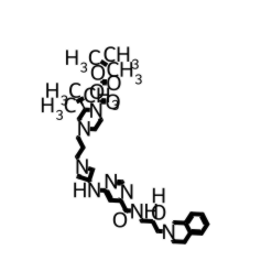 CC(C)(C)OC(=O)OC(=O)N1CCN(CCCN2CC(Nc3cc(C(=O)NCC(O)CN4CCc5ccccc5C4)ncn3)C2)C[C@H]1C(C)(C)C